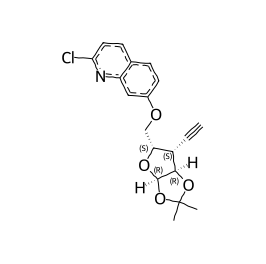 C#C[C@@H]1[C@H]2OC(C)(C)O[C@H]2O[C@@H]1COc1ccc2ccc(Cl)nc2c1